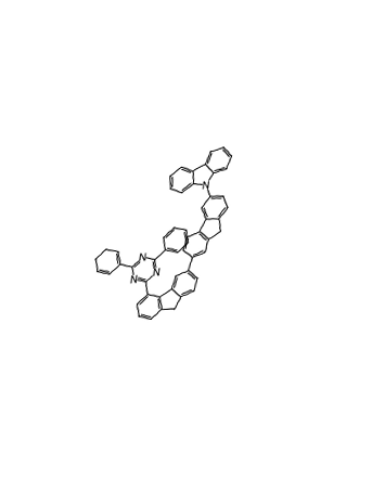 C1=CC(c2nc(-c3ccccc3)nc(-c3cccc4c3-c3cc(-c5ccc6c(c5)Cc5ccc(-n7c8ccccc8c8ccccc87)cc5-6)ccc3C4)n2)=CCC1